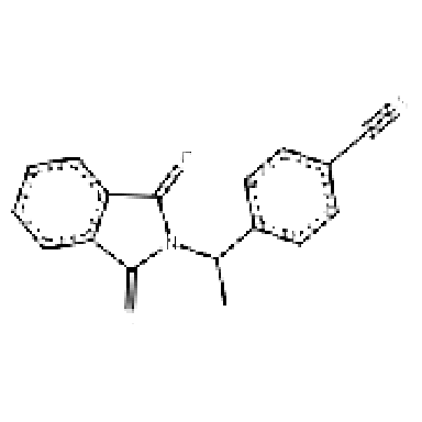 CC(c1ccc(C#N)cc1)N1C(=O)c2ccccc2C1=O